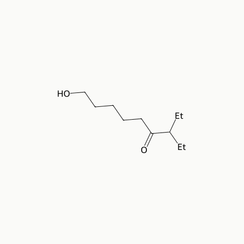 CCC(CC)C(=O)CCCCCO